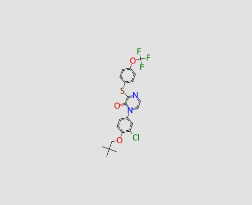 CC(C)(C)COc1ccc(-n2ccnc(Sc3ccc(OC(F)(F)F)cc3)c2=O)cc1Cl